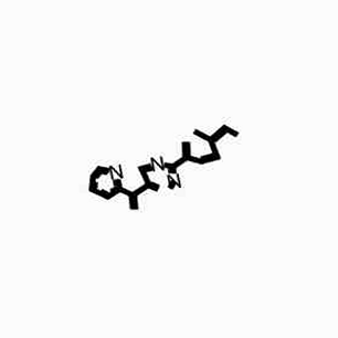 C=C(/C=N\C(=N/C)C(=C)/C=C\C(C)=C/C)C(=C)c1ccccn1